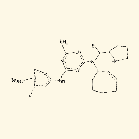 CCC(C1CCCN1)N(c1nc(N)nc(Nc2ccc(OC)c(F)c2)n1)C1C=CCCCC1